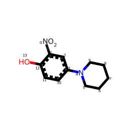 O=[N+]([O-])c1cc(N2CCCCC2)ccc1O